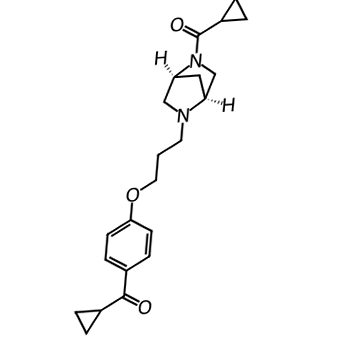 O=C(c1ccc(OCCCN2C[C@@H]3C[C@H]2CN3C(=O)C2CC2)cc1)C1CC1